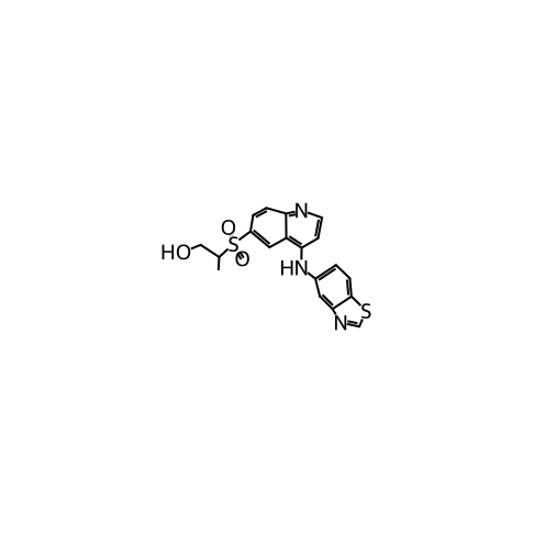 CC(CO)S(=O)(=O)c1ccc2nccc(Nc3ccc4scnc4c3)c2c1